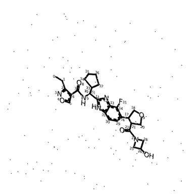 CCc1nocc1C(=O)N[C@H](c1nc2c(F)c(C3COCC3C(=O)N3CC(O)C3)ccc2[nH]1)C1CCCC1